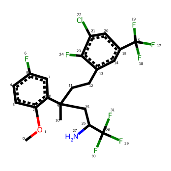 COc1ccc(F)cc1C(C)(CCc1cc(C(F)(F)F)cc(Cl)c1F)CC(N)C(F)(F)F